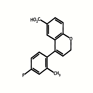 Cc1cc(F)ccc1C1=CCOc2ccc(C(=O)O)cc21